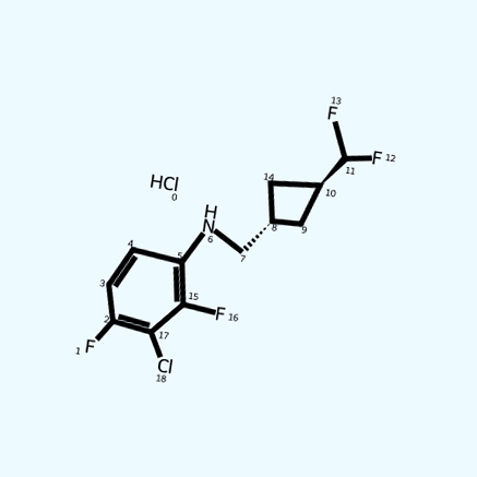 Cl.Fc1ccc(NC[C@H]2C[C@H](C(F)F)C2)c(F)c1Cl